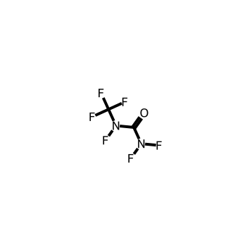 O=C(N(F)F)N(F)C(F)(F)F